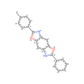 Cc1ccc(-c2nc3cc4oc(-c5ccccc5)nc4cc3o2)cc1